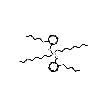 CCCCCCC[CH2][Sn]([CH2]CCCCCCC)([O]c1ccccc1CCCCC)[O]c1ccccc1CCCCC